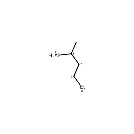 CCCC[CH](C)[AlH2]